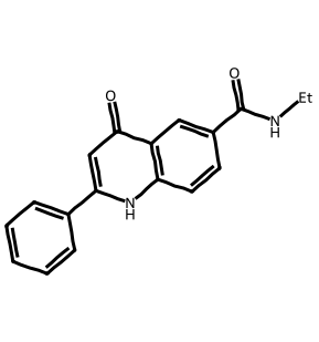 CCNC(=O)c1ccc2[nH]c(-c3ccccc3)cc(=O)c2c1